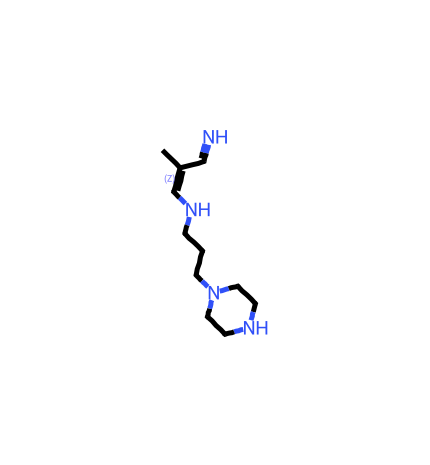 C/C(C=N)=C/NCCCN1CCNCC1